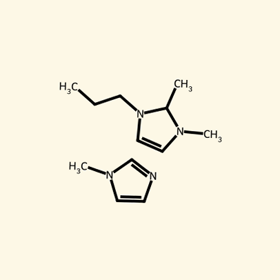 CCCN1C=CN(C)C1C.Cn1ccnc1